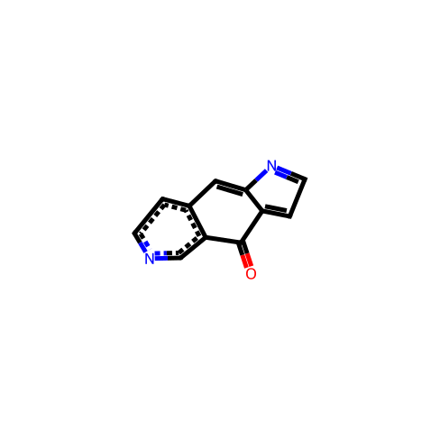 O=C1C2=CC=NC2=Cc2ccncc21